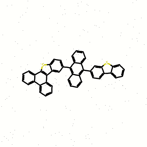 c1ccc2c(c1)sc1cc(-c3c4ccccc4c(-c4ccc5sc6c7ccccc7c7ccccc7c6c5c4)c4ccccc34)ccc12